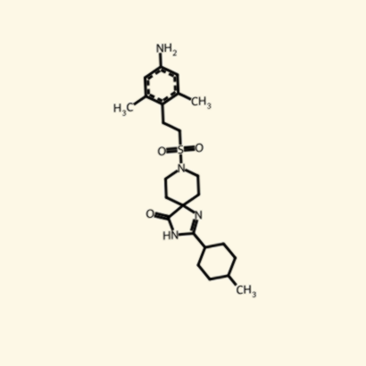 Cc1cc(N)cc(C)c1CCS(=O)(=O)N1CCC2(CC1)N=C(C1CCC(C)CC1)NC2=O